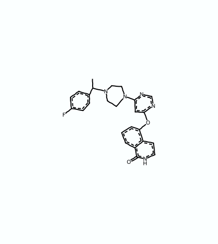 CC(c1ccc(F)cc1)N1CCN(c2cc(Oc3cccc4c(=O)[nH]ccc34)ncn2)CC1